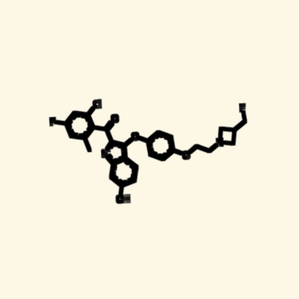 Cc1cc(F)cc(Cl)c1C(=O)c1sc2cc(O)ccc2c1Oc1ccc(OCCN2CC(CF)C2)cc1